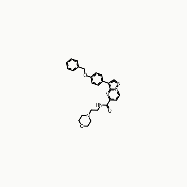 O=C(NCCN1CCOCC1)c1ccn2ncc(-c3ccc(OCc4ccccc4)cc3)c2n1